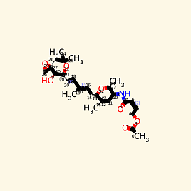 CC(=O)OC/C=C\C(=O)NC1C[C@H](C)[C@H](C/C=C(C)/C=C/[C@H]2OC(C)(C)C[C@@]3(CO3)[C@@H]2O)O[C@@H]1C